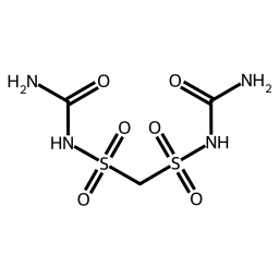 NC(=O)NS(=O)(=O)CS(=O)(=O)NC(N)=O